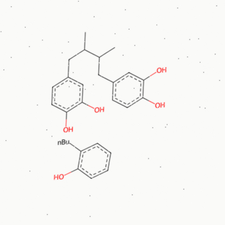 CC(Cc1ccc(O)c(O)c1)C(C)Cc1ccc(O)c(O)c1.CCCCc1ccccc1O